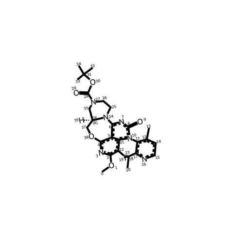 COc1nc2c3c(nc(=O)n(-c4c(C)ccnc4C(C)C)c3c1F)N1CCN(C(=O)OC(C)(C)C)C[C@@H]1CO2